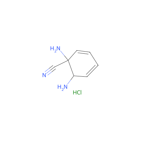 Cl.N#CC1(N)C=CC=CC1N